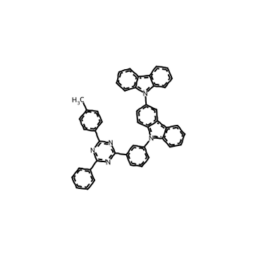 Cc1ccc(-c2nc(-c3ccccc3)nc(-c3cccc(-n4c5ccccc5c5cc(-n6c7ccccc7c7ccccc76)ccc54)c3)n2)cc1